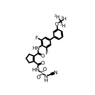 [2H]C([2H])([2H])Oc1cccc(-c2cc(F)c(NC(=O)C3=C(C(=O)NS(=O)(=O)NC#N)CCC3)c(F)c2)c1